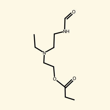 CCC(=O)OCCN(CC)CCNC=O